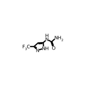 NC(=O)Nc1cc(C(F)(F)F)n[nH]1